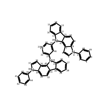 c1ccc(-n2ccc3c2ccc2c4ccccc4n(-c4cncc(-n5c6ccccc6c6ccc7c(ccn7-c7ccccc7)c65)c4)c23)cc1